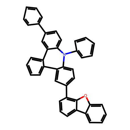 c1ccc(-c2ccc3c(c2)-c2ccccc2-c2cc(-c4cccc5c4oc4ccccc45)ccc2N3c2ccccc2)cc1